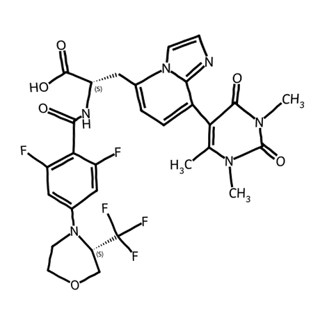 Cc1c(-c2ccc(C[C@H](NC(=O)c3c(F)cc(N4CCOC[C@H]4C(F)(F)F)cc3F)C(=O)O)n3ccnc23)c(=O)n(C)c(=O)n1C